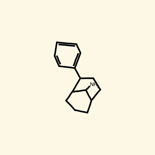 NC1C2CCCC1C(c1ccccc1)CC2